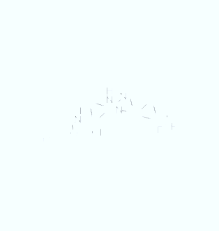 O=C(CC1CCOCC1)NC(CO)c1ccc(Nc2ncc(-c3ccc(OC(F)F)cc3)cn2)cc1